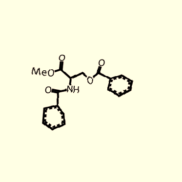 COC(=O)C(COC(=O)c1ccccc1)NC(=O)c1ccccc1